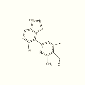 Cc1nc(-c2c(C(C)C)ccc3[nH]ncc23)cc(I)c1CCl